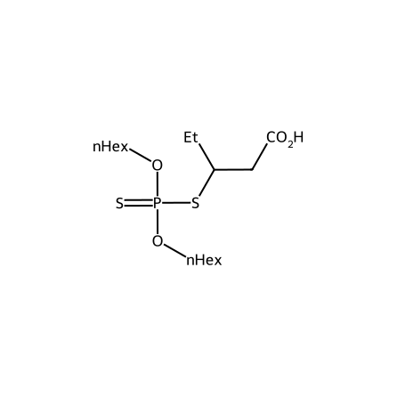 CCCCCCOP(=S)(OCCCCCC)SC(CC)CC(=O)O